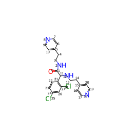 O=C(NCCc1ccncc1)C(NCCc1ccncc1)c1ccc(Cl)cc1Cl